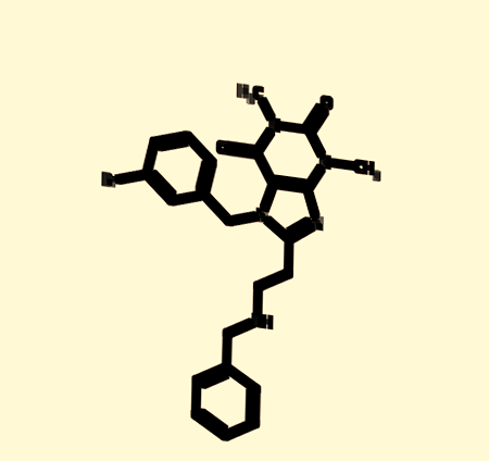 Cn1c(=O)c2c(nc(CCNCc3ccccc3)n2Cc2cccc(Br)c2)n(C)c1=O